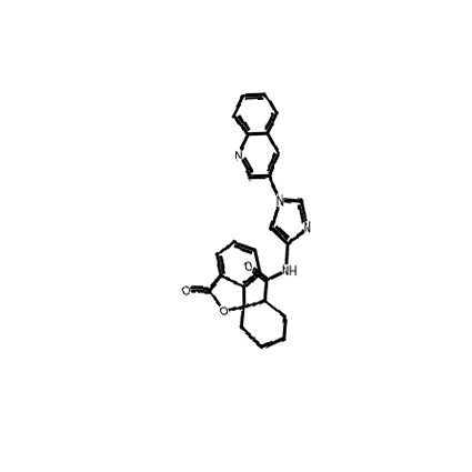 O=C1OC2(CCCCC2C(=O)Nc2cn(-c3cnc4ccccc4c3)cn2)c2ccccc21